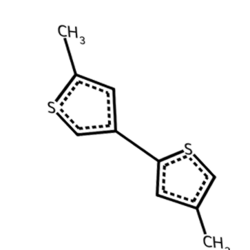 Cc1csc(-c2csc(C)c2)c1